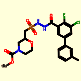 Cc1cccc(-c2cc(Cl)c(F)c(C(=O)NNS(=O)(=O)CC3CN(C(=O)OC(C)(C)C)CCO3)c2)c1